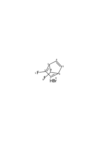 Br.FC1=C2C=CC(=C1)C2F